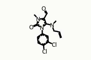 C=CCN(C)c1c(C=O)n(C)c(=O)n1-c1ccc(Cl)c(Cl)c1